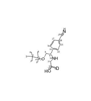 CC(C)(C)[Si](C)(C)OCC(NCC(=O)O)c1ccc(C#N)cc1